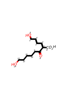 O=C(O)C(CCCCO)C(=O)CCCCCO